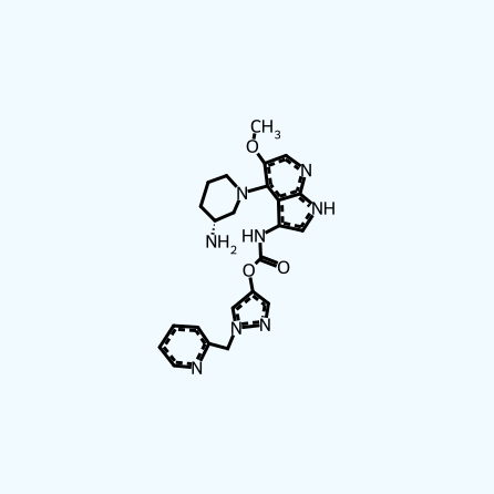 COc1cnc2[nH]cc(NC(=O)Oc3cnn(Cc4ccccn4)c3)c2c1N1CCC[C@@H](N)C1